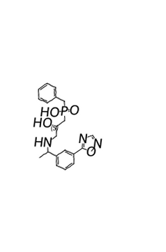 CC(NC[C@H](O)CP(=O)(O)Cc1ccccc1)c1cccc(-c2ncno2)c1